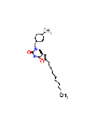 CCCCCCCCCCc1cc2cn(Cc3ccc(C)cc3)c(=O)nc2o1